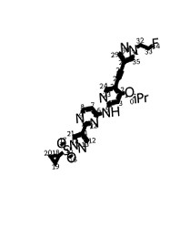 CC(C)Oc1cc(Nc2ccnc(-c3cnn(S(=O)(=O)C4CC4)c3)n2)ncc1C#Cc1cnn(CCF)c1